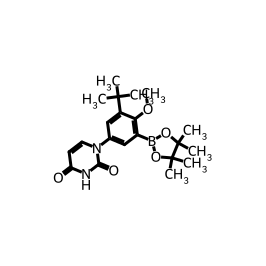 COc1c(B2OC(C)(C)C(C)(C)O2)cc(-n2ccc(=O)[nH]c2=O)cc1C(C)(C)C